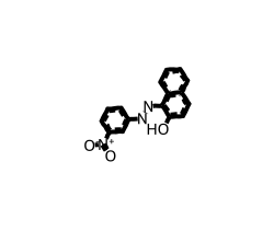 O=[N+]([O-])c1cccc(N=Nc2c(O)ccc3ccccc23)c1